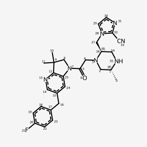 C[C@@H]1CN(CC(=O)N2CC(C)(C)c3ncc(Cc4ccc(F)cc4)cc32)[C@@H](Cn2ccnc2C#N)CN1